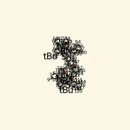 Cc1ccc(-c2ccc(C)cc2N2c3ccc(C(C)(C)C)cc3B3c4sc5cc6c(cc5c4N(c4ccc5c(c4)C(C)(CCC4(C)CCC(C)(C)c7cc8c9c(sc8cc74)B4c7cc(C(C)(C)C)ccc7N(c7ccccc7-c7ccccc7C)c7cc(C)cc(c74)N9c4ccc7c(c4)C(C)(C)CCC7(C)C)CCC5(C)C)c4cc(C)cc2c43)C(C)(C)CCC6(C)C)cc1